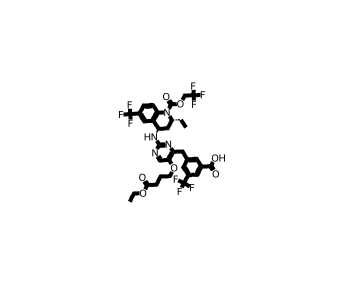 CCOC(=O)CCCOc1cnc(N[C@H]2C[C@@H](CC)N(C(=O)OCC(F)(F)F)c3ccc(C(F)(F)F)cc32)nc1Cc1cc(C(=O)O)cc(C(F)(F)F)c1